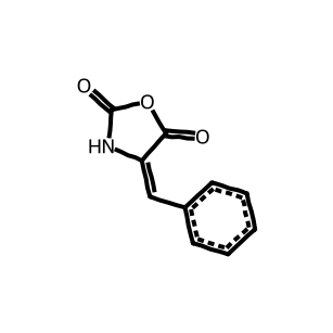 O=C1NC(=Cc2ccccc2)C(=O)O1